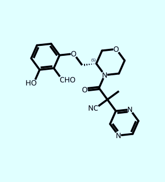 CC(C#N)(C(=O)N1CCOC[C@H]1COc1cccc(O)c1C=O)c1cnccn1